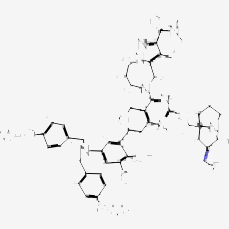 COc1ccc(CN(Cc2ccc(OC)cc2)c2cc(Cl)c(C(F)(F)F)c(C3Cc4nc(OC[C@@]56CCCN5C/C(=C\F)C6)nc(N5CCCn6nc(C(=O)N(C)C)c(C)c6C5)c4CO3)c2)cc1